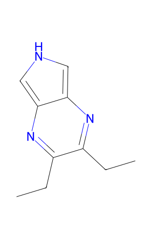 CCc1nc2c[nH]cc2nc1CC